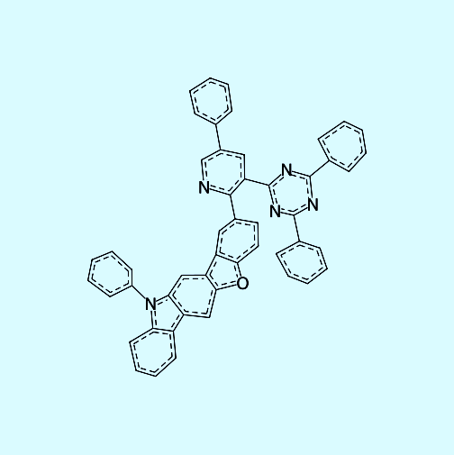 c1ccc(-c2cnc(-c3ccc4oc5cc6c7ccccc7n(-c7ccccc7)c6cc5c4c3)c(-c3nc(-c4ccccc4)nc(-c4ccccc4)n3)c2)cc1